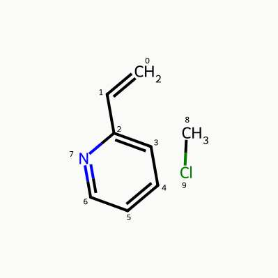 C=Cc1ccccn1.CCl